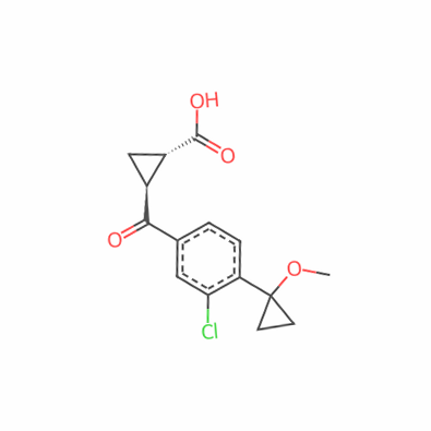 COC1(c2ccc(C(=O)[C@H]3C[C@@H]3C(=O)O)cc2Cl)CC1